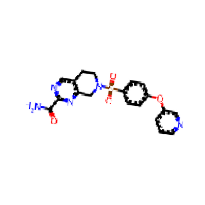 NC(=O)c1n[c]c2c(n1)CN(S(=O)(=O)c1ccc(Oc3cccnc3)cc1)CC2